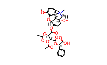 COc1ccc2c3c1O[C@H]1C(OC(=O)[C@H](OC(C)=O)[C@@H](OC(C)=O)C(=O)O[C@H](C(=O)O)c4ccccc4)=CC[C@@]4(O)[C@@H](C2)N(C)CC[C@]314